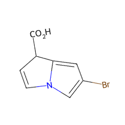 O=C(O)C1C=Cn2cc(Br)cc21